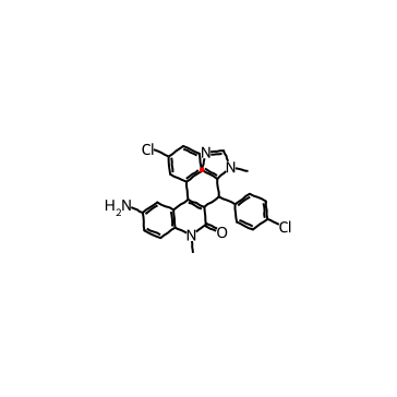 Cn1cncc1C(c1ccc(Cl)cc1)c1c(-c2cccc(Cl)c2)c2cc(N)ccc2n(C)c1=O